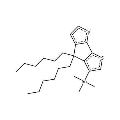 CCCCCCC1(CCCCCC)c2ccsc2-c2sc[c]([Sn]([CH3])([CH3])[CH3])c21